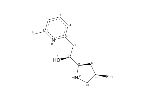 Cc1cccc(C[C@H](O)[C@H]2C[C@@H](F)CN2)n1